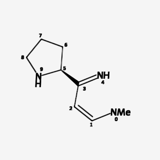 CN/C=C\C(=N)[C@@H]1CCCN1